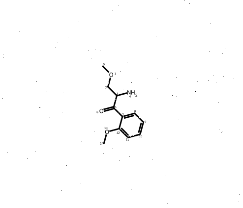 COCC(N)C(=O)c1ccccc1OC